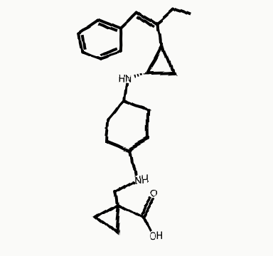 CCC(=Cc1ccccc1)C1C[C@@H]1NC1CCC(NCC2(C(=O)O)CC2)CC1